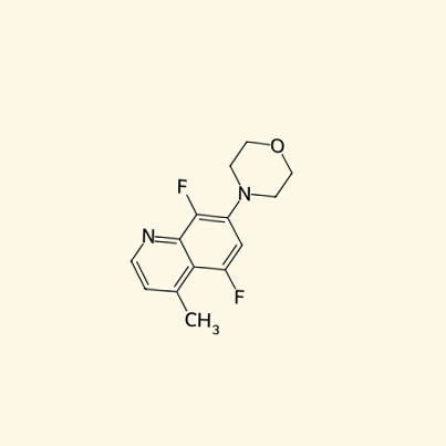 Cc1ccnc2c(F)c(N3CCOCC3)cc(F)c12